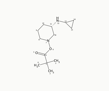 CC(C)(C)C(=O)ON1CCC[C@H](NC2CC2)C1